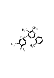 Cc1cccc(C)c1C.Cc1ccccc1.Cc1ccccc1C